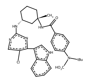 CC(C)(C)N(C(=O)O)c1ccc(C(=O)N[C@@]2(C)CCC[C@@H](Nc3ncc(Cl)c(-c4c[nH]c5ccccc45)n3)C2)cc1